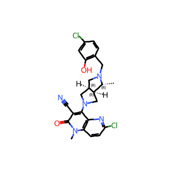 C[C@@H]1[C@H]2CN(c3c(C#N)c(=O)n(C)c4ccc(Cl)nc34)C[C@H]2CN1Cc1ccc(Cl)cc1O